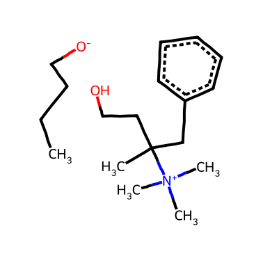 CC(CCO)(Cc1ccccc1)[N+](C)(C)C.CCCC[O-]